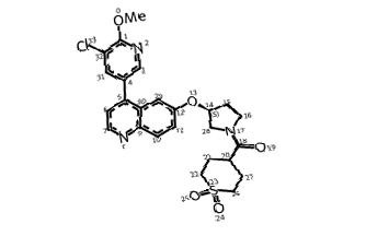 COc1ncc(-c2ccnc3ccc(O[C@H]4CCN(C(=O)C5CCS(=O)(=O)CC5)C4)cc23)cc1Cl